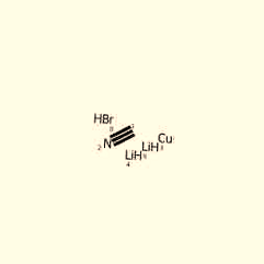 Br.C#N.[Cu].[LiH].[LiH]